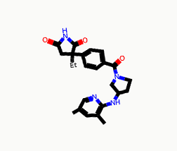 CCC1(c2ccc(C(=O)N3CCC(Nc4ncc(C)cc4C)C3)cc2)CC(=O)NC1=O